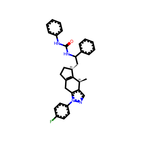 C[C@@H]1C2=C(CC[C@@H]2CC(NC(=O)Nc2ccccc2)c2ccccc2)Cc2c1cnn2-c1ccc(F)cc1